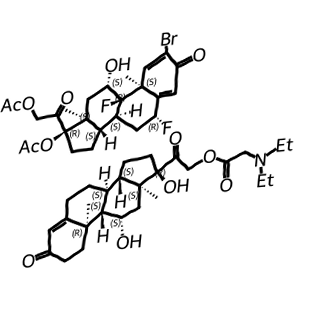 CC(=O)OCC(=O)[C@@]1(OC(C)=O)CC[C@H]2[C@@H]3C[C@@H](F)C4=CC(=O)C(Br)=C[C@]4(C)[C@@]3(F)[C@@H](O)C[C@@]21C.CCN(CC)CC(=O)OCC(=O)[C@@]1(O)CC[C@H]2[C@@H]3CCC4=CC(=O)CC[C@]4(C)[C@H]3[C@@H](O)C[C@@]21C